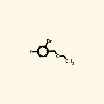 CCOCc1ccc(F)cc1Br